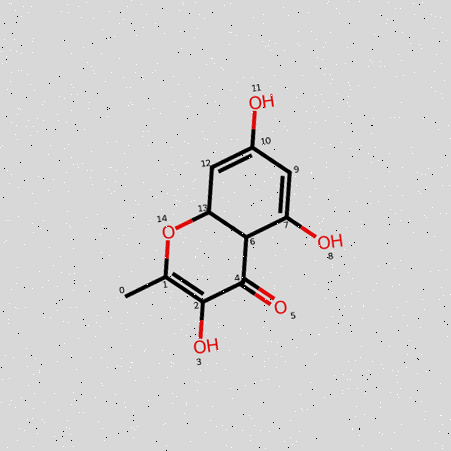 CC1=C(O)C(=O)C2C(O)=CC(O)=CC2O1